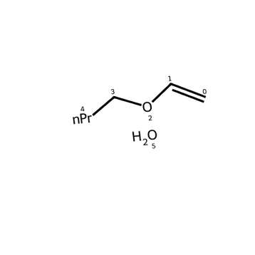 C=COCCCC.O